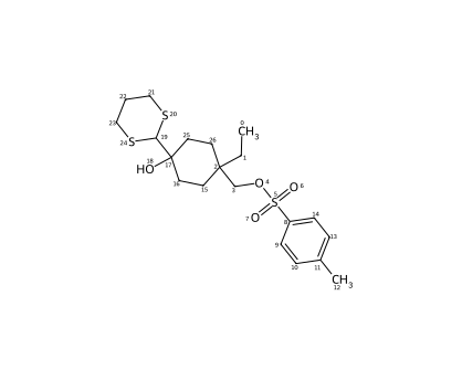 CCC1(COS(=O)(=O)c2ccc(C)cc2)CCC(O)(C2SCCCS2)CC1